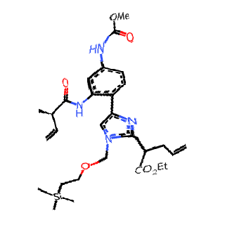 C=CCC(C(=O)OCC)c1nc(-c2ccc(NC(=O)OC)cc2NC(=O)[C@H](C)C=C)cn1COCC[Si](C)(C)C